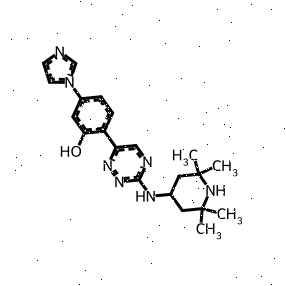 CC1(C)CC(Nc2ncc(-c3ccc(-n4ccnc4)cc3O)nn2)CC(C)(C)N1